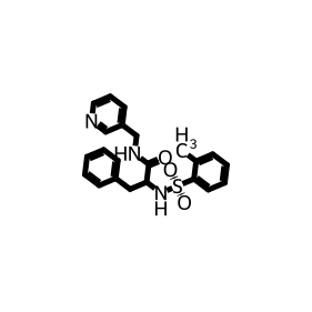 Cc1ccccc1S(=O)(=O)NC(Cc1ccccc1)C(=O)NCc1cccnc1